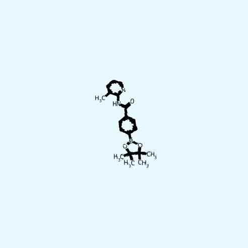 Cc1cccnc1NC(=O)c1ccc(B2OC(C)(C)C(C)(C)O2)cc1